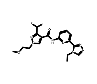 CCn1cnnc1-c1cccc(NC(=O)c2cn(CCOC)nc2C(F)F)n1